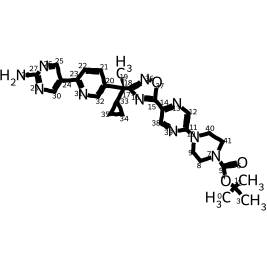 CC(C)(C)OC(=O)N1CCN(c2cnc(-c3nc([C@@](C)(c4ccc(-c5cnc(N)nc5)nc4)C4CC4)no3)cn2)CC1